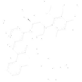 C[C@H]1CN(c2c(F)c(F)c(F)c(F)c2[S+](C)[O-])CCN1c1ncnc2cc(-c3ccccc3F)c(Cl)cc12